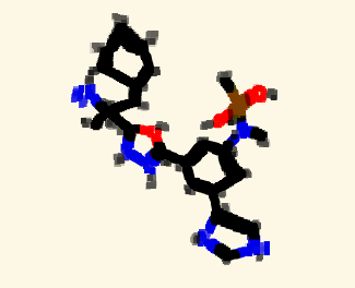 CN(c1cc(-c2c[nH]cn2)cc(-c2nnc([C@](C)(N)Cc3ccccc3)o2)c1)S(C)(=O)=O